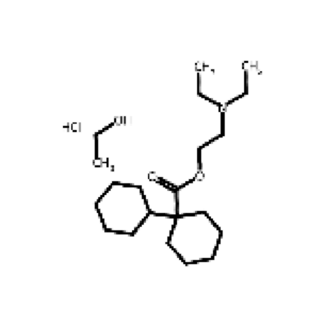 CCN(CC)CCOC(=O)C1(C2CCCCC2)CCCCC1.CCO.Cl